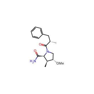 CO[C@H]1CN(C(=O)[C@@H](C)Cc2ccccc2)[C@H](C(N)=O)[C@@H]1C